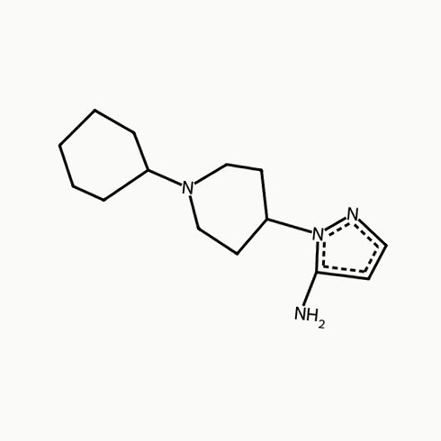 Nc1ccnn1C1CCN(C2CCCCC2)CC1